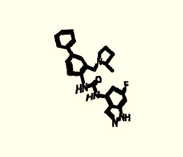 CC1CCCN1Cc1cc(-c2ccccc2)ccc1NC(=O)Nc1cc(F)cc2[nH]ncc12